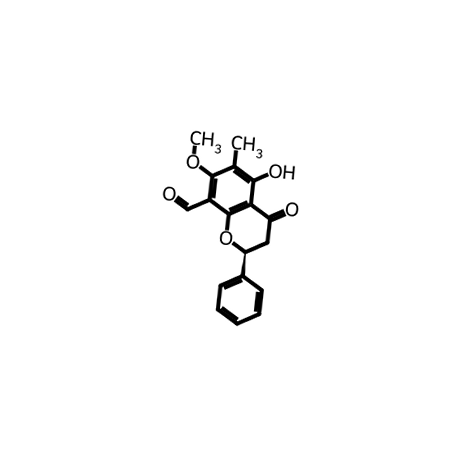 COc1c(C)c(O)c2c(c1C=O)O[C@H](c1ccccc1)CC2=O